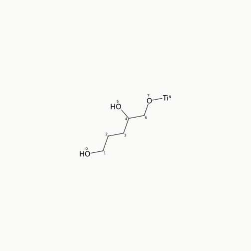 OCCCC(O)C[O][Ti]